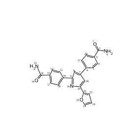 NC(=O)c1ccc(-c2cc(-c3ccc(C(N)=O)cc3)nc(-c3ccco3)c2)cc1